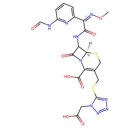 CO/N=C(\C(=O)NC1C(=O)N2C(C(=O)O)=C(CSc3nnnn3CC(=O)O)CS[C@H]12)c1cccc(NC=O)n1